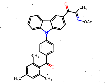 CC(=O)ON=C(C)C(=O)c1ccc2c(c1)c1ccccc1n2-c1ccc(C(=O)c2c(C)cc(C)cc2C)cc1